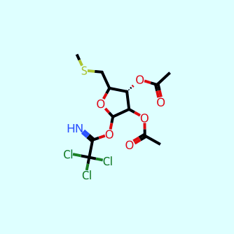 CSCC1OC(OC(=N)C(Cl)(Cl)Cl)C(OC(C)=O)[C@H]1OC(C)=O